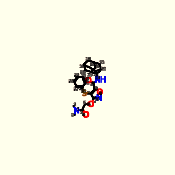 CN(C)C(=O)COc1noc(C(=O)NC2C3CC4CC(C3)CC2C4)c1Sc1ccccc1